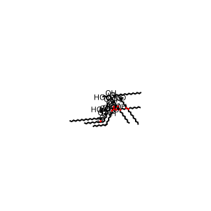 CCCCCC/C=C\CCCCCCCC(=O)OC(CCCCCCCCCCC)CC(=O)NC1[C@H](OCC2OC(OP(=O)(O)O)C(NC(=O)CC(CCCCCCCCCCC)OC(=O)CCCCCCCCCCCCCCC)[C@@H](OC(=O)CC(O)CCCCCCCCCCC)[C@@H]2O)OC(CO)[C@@H](O)[C@@H]1OC(=O)CC(CCCCCCCCCCC)OC(=O)CCCCCCCCCCCCCCC